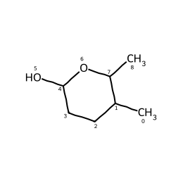 CC1CCC(O)OC1C